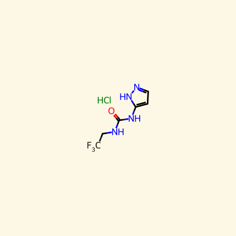 Cl.O=C(NCC(F)(F)F)Nc1ccn[nH]1